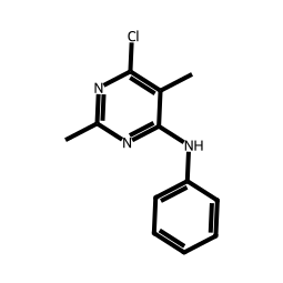 Cc1nc(Cl)c(C)c(Nc2ccccc2)n1